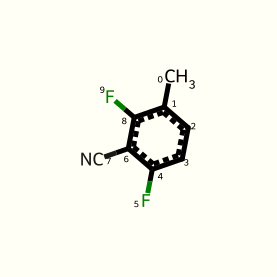 Cc1ccc(F)c(C#N)c1F